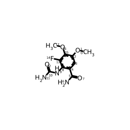 COc1cc(C(N)=O)c(NC(N)=O)c(F)c1OC